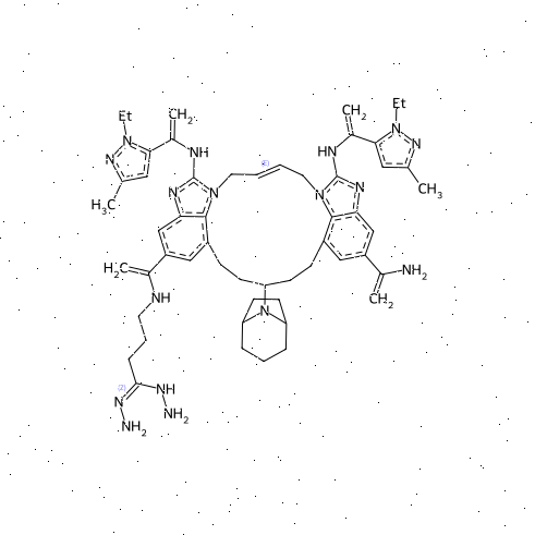 C=C(N)c1cc2c3c(c1)nc(NC(=C)c1cc(C)nn1CC)n3C/C=C/Cn1c(NC(=C)c3cc(C)nn3CC)nc3cc(C(=C)NCCC/C(=N/N)NN)cc(c31)CCC(N1C3CCCC1CC3)CC2